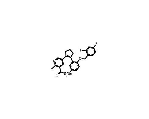 COC(=O)c1cc(C2=C(c3cc(C(F)(F)F)ccc3OCc3ccc(F)cc3F)CCC2)cnc1C